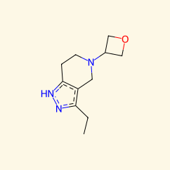 CCc1n[nH]c2c1CN(C1COC1)CC2